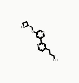 OCCCc1ccnc(-c2cncc(OC[C@@H]3CCN3)c2)c1